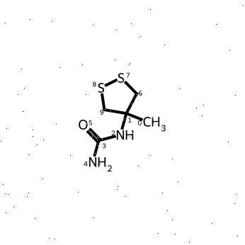 CC1(NC(N)=O)CSSC1